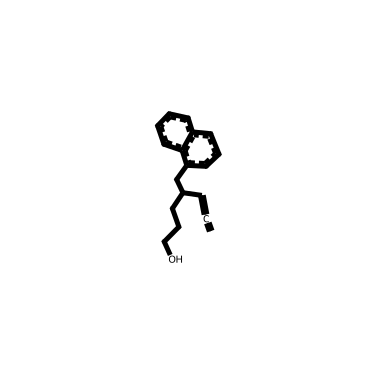 C=C=CC(CCCO)Cc1cccc2ccccc12